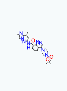 Cc1cn2nc(NC(=O)c3cccc4c(N5CCN(C(=O)OC(C)(C)C)CC5)cnnc34)cc(C)c2n1